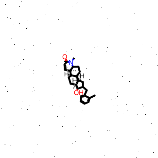 Cc1ccccc1CC1C[C@H]2[C@@H]3CCC4N(C)C(=O)C=C[C@]4(C)[C@@H]3CC[C@]2(C)C1O